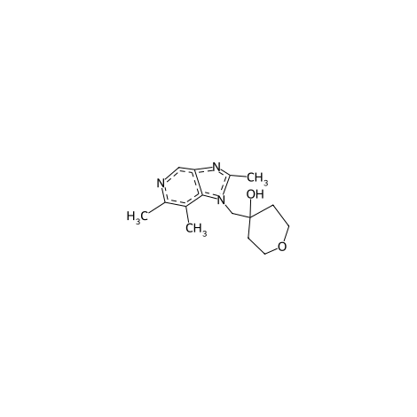 Cc1ncc2nc(C)n(CC3(O)CCOCC3)c2c1C